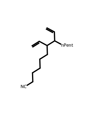 C=CC(CCCCC)C(C=C)CCCCCC#N